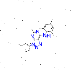 CCCC(CC)n1nnc2c(Nc3c(C)cc(C)cc3C)nc(C)nc21